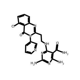 NC(=O)c1c(N)nc(N)nc1NCCc1nc2cccc(Cl)c2c(=O)n1-c1cccnc1